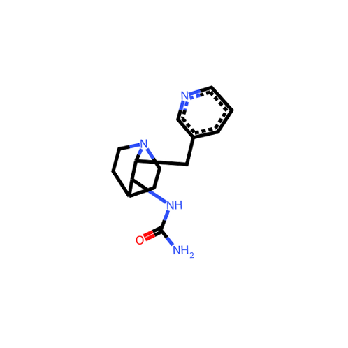 NC(=O)NC1C2CCN(CC2)C1Cc1cccnc1